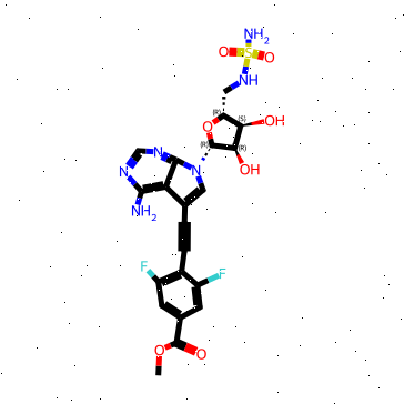 COC(=O)c1cc(F)c(C#Cc2cn([C@@H]3O[C@H](CNS(N)(=O)=O)[C@@H](O)[C@H]3O)c3ncnc(N)c23)c(F)c1